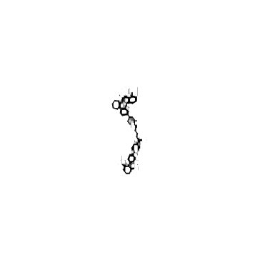 O=C(CCCCN1CCC(c2ccc3c(c2)-n2c(nc(=O)c4c(Cl)cccc42)C32CCCCC2)CC1)N1CCN(c2cc(F)c(N3C(=O)CCCC3=O)c(F)c2)CC1